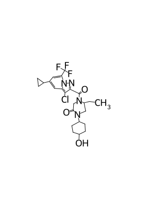 CCC1CN(C2CCC(O)CC2)C(=O)CN1C(=O)c1nn2c(C(F)(F)F)cc(C3CC3)cc2c1Cl